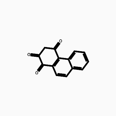 O=C1CC(=O)c2c(ccc3ccccc23)C1=O